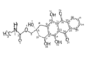 CNC(=O)OC[C@@]1(O)Cc2c(O)c3c(c(O)c2[C@@H](O)C1)C(=O)c1ccccc1C3=O